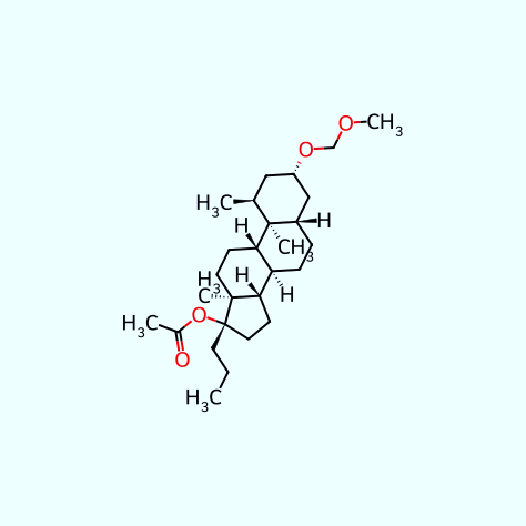 CCC[C@]1(OC(C)=O)CC[C@H]2[C@@H]3CC[C@H]4C[C@@H](OCOC)C[C@H](C)[C@]4(C)[C@H]3CC[C@@]21C